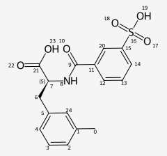 Cc1cccc(C[C@H](NC(=O)c2cccc(S(=O)(=O)O)c2)C(=O)O)c1